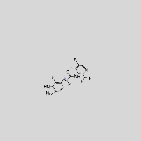 Cc1c(F)cnc(C(F)F)c1NC(=O)/C(F)=C/c1ccc2cn[nH]c2c1F